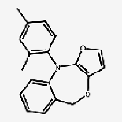 Cc1ccc(N2c3ccccc3COc3ccoc32)c(C)c1